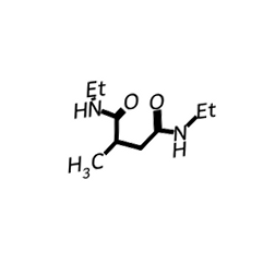 CCNC(=O)CC(C)C(=O)NCC